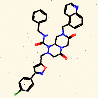 O=C1CN2C(=O)CN(Cc3cc(-c4ccc(F)cc4)no3)N(C(=O)NCc3ccccc3)C2CN1Cc1cccc2ncccc12